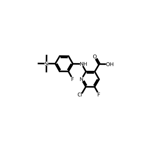 C[Si](C)(C)c1ccc(Nc2nc(Cl)c(F)cc2C(=O)O)c(F)c1